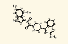 NC(=O)/N=C(\c1ccccc1)N1CCN(C(=O)C(=O)c2c[nH]c3cc(F)cc(F)c23)CC1